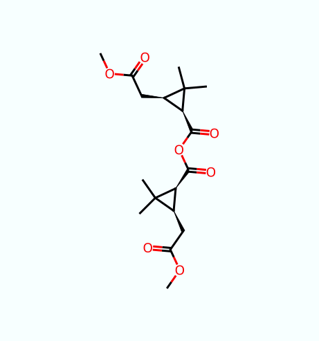 COC(=O)C[C@@H]1[C@H](C(=O)OC(=O)[C@H]2[C@@H](CC(=O)OC)C2(C)C)C1(C)C